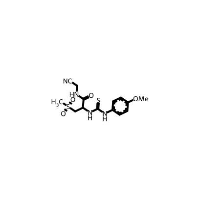 COc1ccc(NC(=S)NC(CS(C)(=O)=O)C(=O)NCC#N)cc1